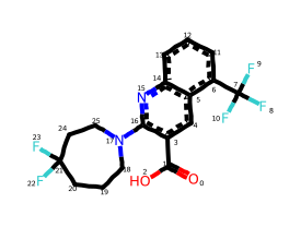 O=C(O)c1cc2c(C(F)(F)F)cccc2nc1N1CCCC(F)(F)CC1